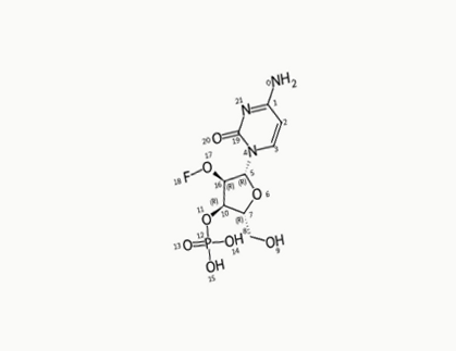 Nc1ccn([C@@H]2O[C@H](CO)[C@@H](OP(=O)(O)O)[C@H]2OF)c(=O)n1